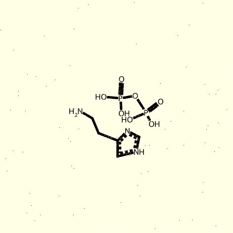 NCCc1c[nH]cn1.O=P(O)(O)OP(=O)(O)O